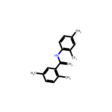 C=C(Nc1ccc(C)cc1C(F)(F)F)c1cc(C)ccc1C